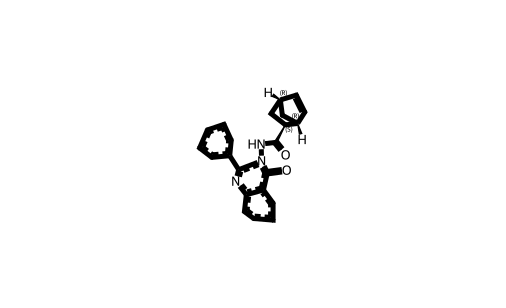 O=C(Nn1c(-c2ccccc2)nc2ccccc2c1=O)[C@H]1C[C@@H]2C=C[C@H]1C2